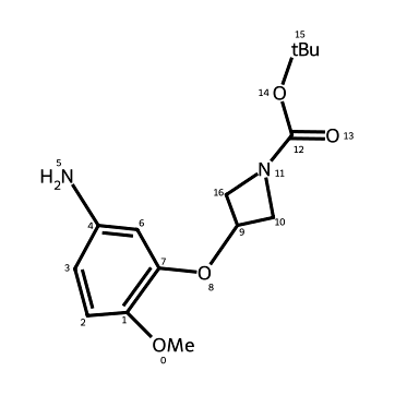 COc1ccc(N)cc1OC1CN(C(=O)OC(C)(C)C)C1